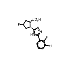 O=C(O)N1C[C@H](F)C[C@@H]1c1nnc(-c2cccc(Cl)c2F)[nH]1